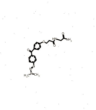 CN(C)/N=N/c1ccc(C(=O)c2ccc(OCCC(=O)NCC(N)=O)cc2)cc1